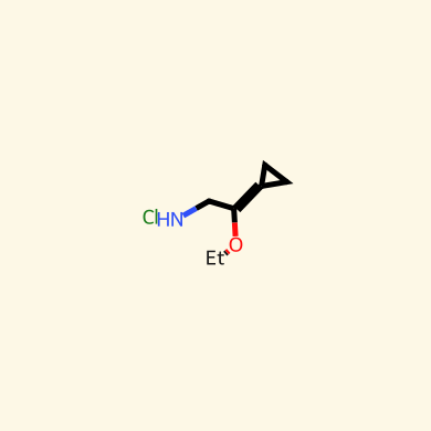 CCOC(CNCl)=C1CC1